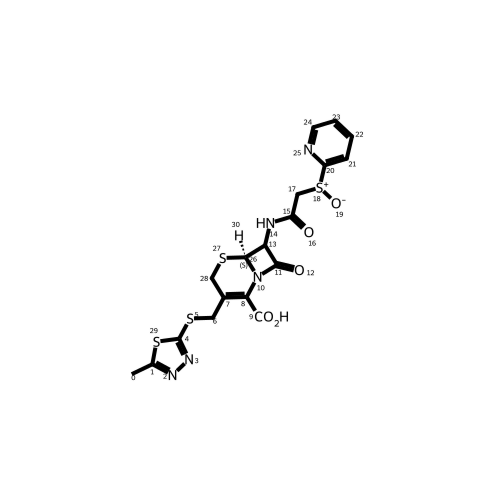 Cc1nnc(SCC2=C(C(=O)O)N3C(=O)C(NC(=O)C[S+]([O-])c4ccccn4)[C@@H]3SC2)s1